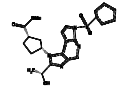 COC(=O)[C@H]1CC[C@@H](n2c([C@@H](C)O)nc3cnc4c(ccn4S(=O)(=O)c4ccccc4)c32)C1